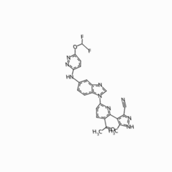 CC(=O)c1ccc(-n2cnc3cc(Nc4ccc(OC(F)F)nn4)ccc32)nc1-c1c(C#N)n[nH]c1C